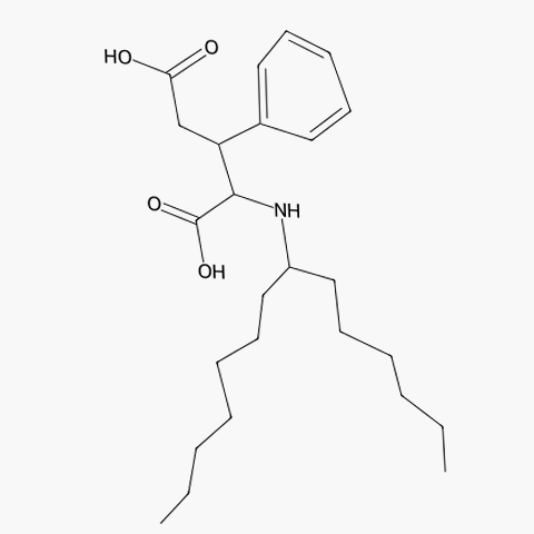 CCCCCCCC(CCCCCC)NC(C(=O)O)C(CC(=O)O)c1ccccc1